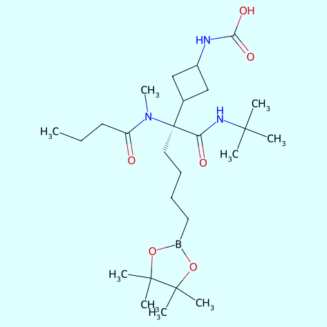 CCCC(=O)N(C)[C@](CCCCB1OC(C)(C)C(C)(C)O1)(C(=O)NC(C)(C)C)C1CC(NC(=O)O)C1